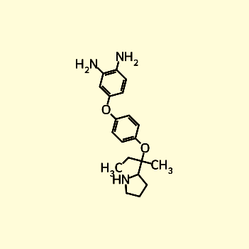 CCC(C)(Oc1ccc(Oc2ccc(N)c(N)c2)cc1)C1CCCN1